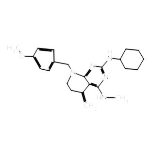 C=C1CCN(Cc2ccc(OC)cc2)c2nc(NC3CCCCC3)nc(NC)c21